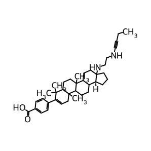 CCC#CNCCNC12CCC[C@@H]1C1CCC3C(C)(CCC4C(C)(C)C(c5ccc(C(=O)O)cc5)=CCC43C)C1CC2